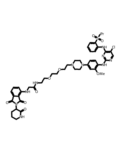 COc1cc(N2CCN(CCOCCOCCNC(=O)CNc3cccc4c3C(=O)N(C3CCCNC3=O)C4=O)CC2)ccc1Nc1ncc(Cl)c(Nc2ccccc2S(=O)(=O)C(C)C)n1